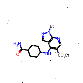 CCOC(=O)c1cnc2c(cnn2CC)c1NC1CCC(C(N)=O)CC1